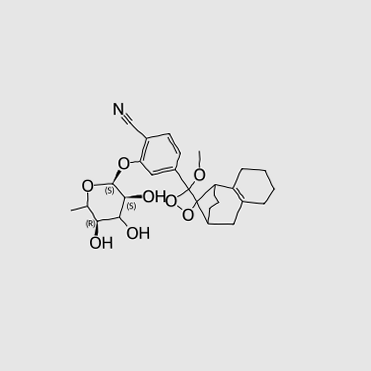 COC1(c2ccc(C#N)c(O[C@@H]3OC(C)[C@H](O)C(O)[C@@H]3O)c2)OOC12C1CCCC2C2=C(CCCC2)C1